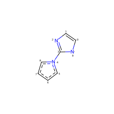 C1=CN=C(n2cccc2)[N]1